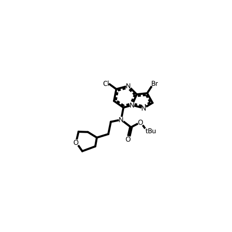 CC(C)(C)OC(=O)N(CCC1CCOCC1)c1cc(Cl)nc2c(Br)cnn12